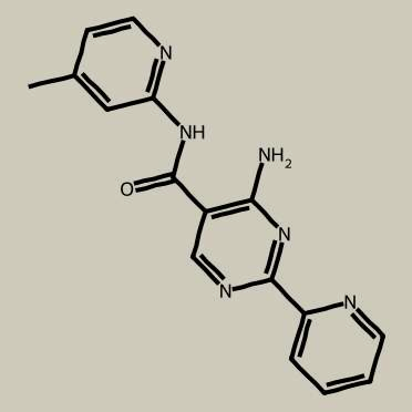 Cc1ccnc(NC(=O)c2cnc(-c3ccccn3)nc2N)c1